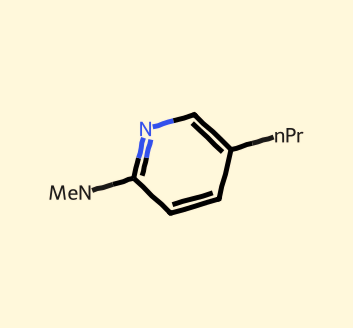 CCCc1ccc(NC)nc1